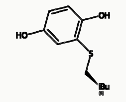 CC[C@H](C)CSc1cc(O)ccc1O